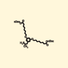 CCCCCCCCCCOC(=O)CCCCCCCOc1cc(CN(C)C)cc(OCCCCCCCC(=O)OCCCCCCCCCC)c1